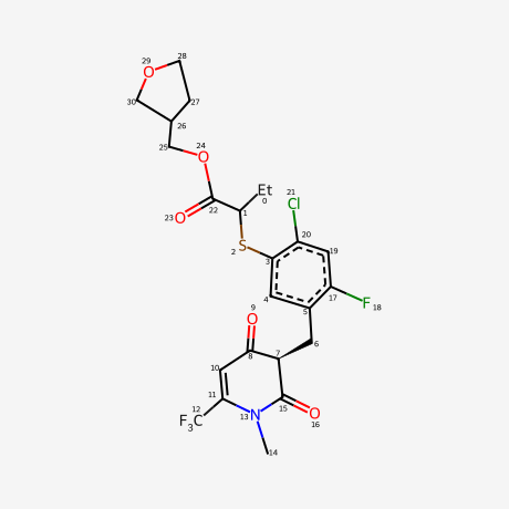 CCC(Sc1cc(C[C@@H]2C(=O)C=C(C(F)(F)F)N(C)C2=O)c(F)cc1Cl)C(=O)OCC1CCOC1